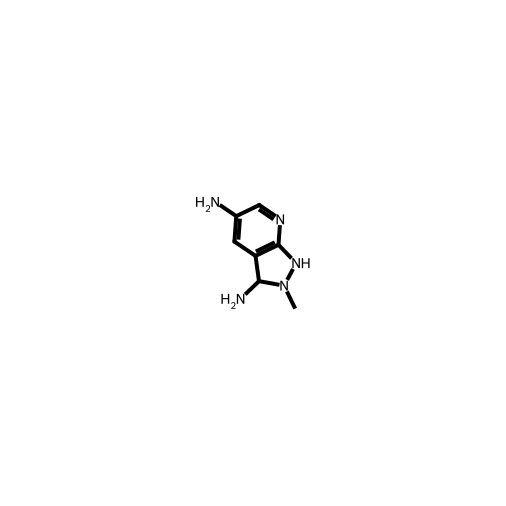 CN1Nc2ncc(N)cc2C1N